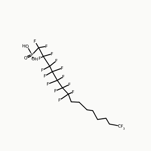 O=P(O)(O)C(F)(F)C(F)(F)C(F)(F)C(F)(F)C(F)(F)C(F)(F)C(F)(F)CCCCCCCC(F)(F)F